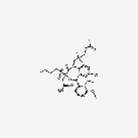 CCCCS(=O)(=O)[C@@]1(CC(N)=O)O[C@H](c2cccc(OC)c2OC)c2cc(Cl)ccc2N(CC(C)(C)COC(C)=O)C1=O